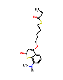 C=CC(=O)SCCCCCOc1cc(=O)sc2c(N(CC)CC)cccc12